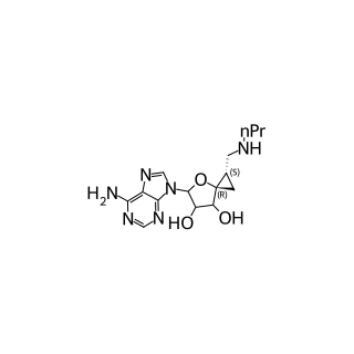 CCCNC[C@@H]1C[C@@]12OC(n1cnc3c(N)ncnc31)C(O)C2O